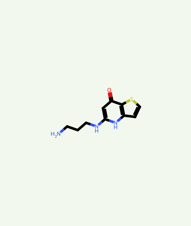 NCCCNc1cc(=O)c2sccc2[nH]1